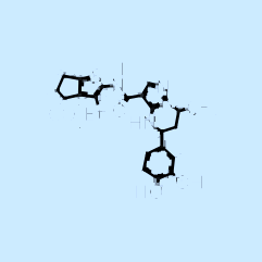 CCOC(=O)c1c(NC(=O)c2cnn3c2NC(c2ccc(O)c(O)c2)CC3C(F)(F)F)sc2c1CCC2